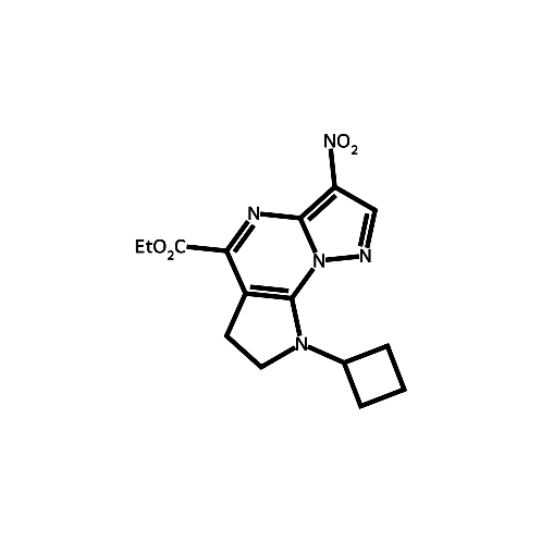 CCOC(=O)c1nc2c([N+](=O)[O-])cnn2c2c1CCN2C1CCC1